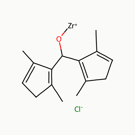 CC1=CCC(C)=C1C([O][Zr+])C1=C(C)CC=C1C.[Cl-]